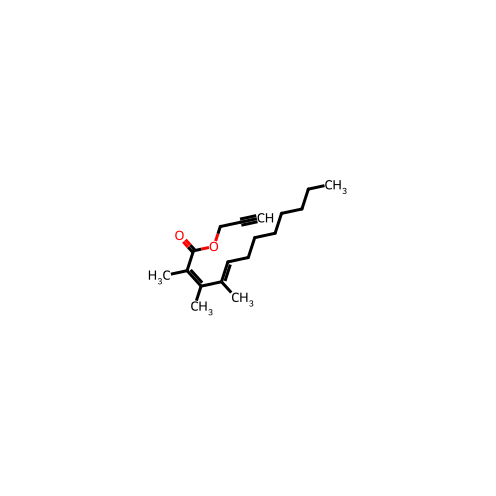 C#CCOC(=O)C(C)=C(C)C(C)=CCCCCCCC